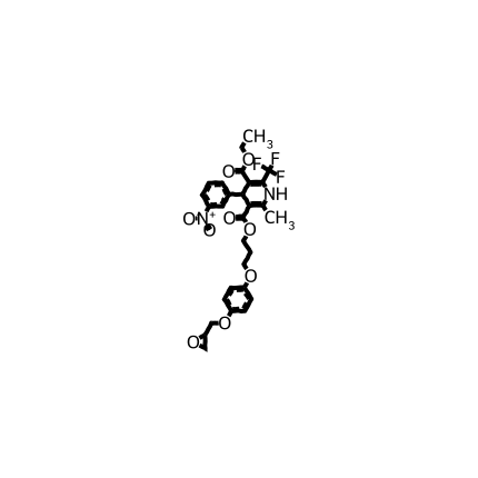 CCOC(=O)C1=C(C(F)(F)F)NC(C)=C(C(=O)OCCCOc2ccc(OCC3CO3)cc2)C1c1cccc([N+](=O)[O-])c1